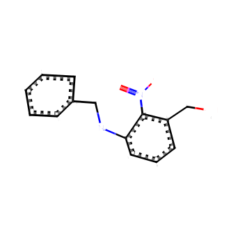 O=[N+]([O-])c1c(CO)cccc1NCc1ccccc1